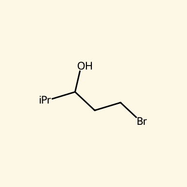 CC(C)C(O)CCBr